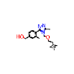 Cc1cc(CO)ccc1-c1nnc(C)n1COCC[Si](C)(C)C